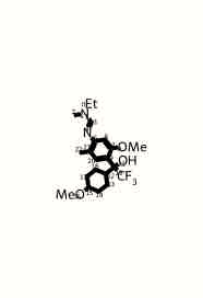 CCN(C)C=Nc1cc(OC)c(C(O)(C2CCC(OC)CC2)C(F)(F)F)cc1C